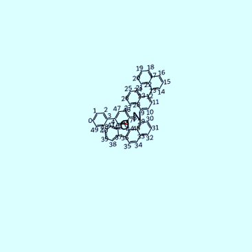 c1ccc(-c2ccc(N(c3ccc(-c4cccc5ccccc45)c4ccccc34)c3cccc4ccc5c6ccccc6oc5c34)cc2)cc1